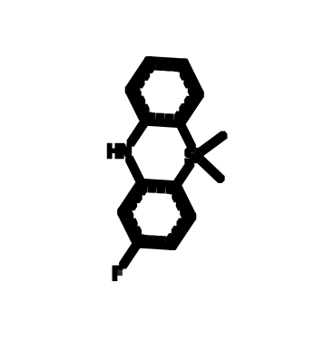 C[Si]1(C)c2ccccc2Nc2cc(F)ccc21